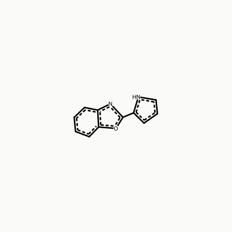 c1c[nH]c(-c2nc3ccccc3o2)c1